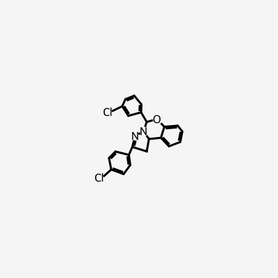 Clc1ccc(C2=NN3C(C2)c2ccccc2OC3c2cccc(Cl)c2)cc1